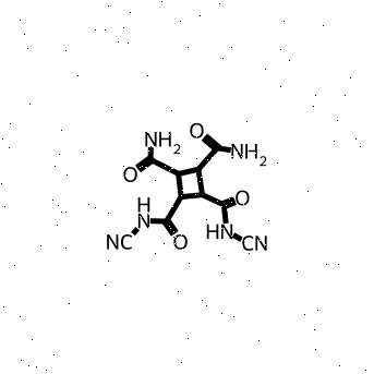 N#CNC(=O)C1C(C(N)=O)C(C(N)=O)C1C(=O)NC#N